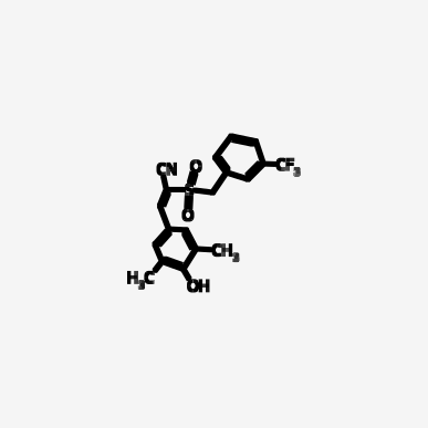 Cc1cc(/C=C(/C#N)S(=O)(=O)Cc2cccc(C(F)(F)F)c2)cc(C)c1O